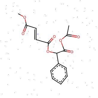 COC(=O)/C=C/C(=O)OC(C(=O)OC(C)=O)c1ccccc1